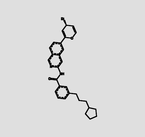 CC[C@H]1C=COC(c2ccc3cnc(NC(=O)c4cccc(CCCC5CCCC5)c4)cc3c2)=C1